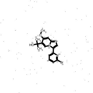 COc1cc2ncc(-c3cccc(Br)n3)n2cc1C(C)(C)O